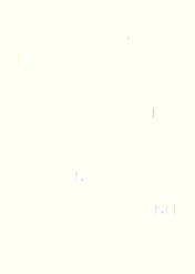 C=CCC1(C(F)(F)F)c2cc(F)ccc2Nc2c1cc[nH]c2=O